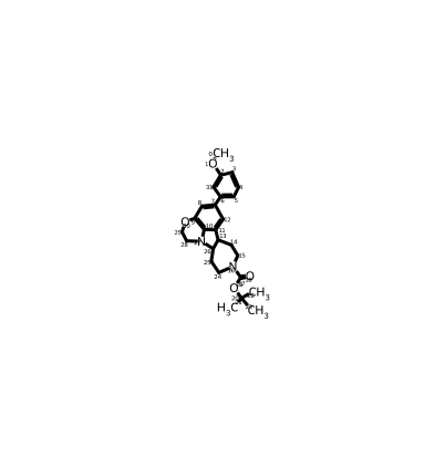 COc1cccc(-c2cc3c4c(c2)C2CCN(C(=O)OC(C)(C)C)CCC2N4CCO3)c1